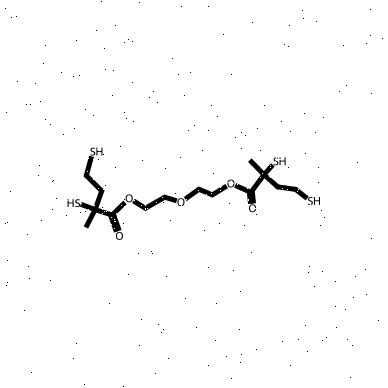 CC(S)(CCS)C(=O)OCCOCCOC(=O)C(C)(S)CCS